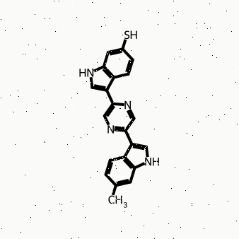 Cc1ccc2c(-c3cnc(-c4c[nH]c5cc(S)ccc45)cn3)c[nH]c2c1